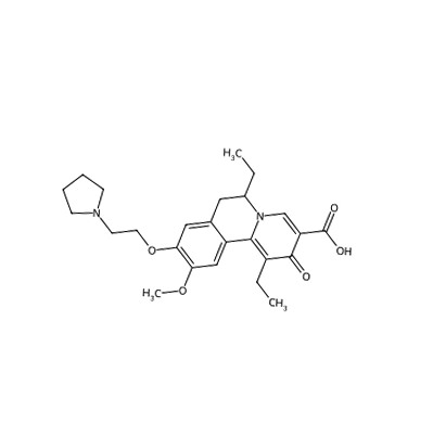 CCc1c2n(cc(C(=O)O)c1=O)C(CC)Cc1cc(OCCN3CCCC3)c(OC)cc1-2